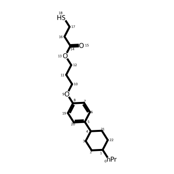 CCCC1CCC(c2ccc(OCCCOC(=O)CCS)cc2)CC1